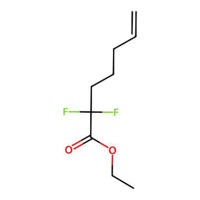 C=CCCCC(F)(F)C(=O)OCC